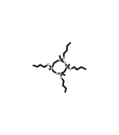 CCCCO[Si]1(C)CC[Si](C)(OCCCC)O[Si](C)(OCCCC)C[Si](C)(OCCCC)OC1